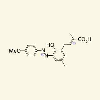 COc1ccc(/N=N/c2cc(C)cc(C/C=C(\C)C(=O)O)c2O)cc1